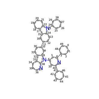 c1ccc(-c2cc(-n3c4cc(-c5ccc6c(c5)c5ccccc5n6-c5ccccc5)ccc4c4cccnc43)cc(-c3ccccc3)n2)cc1